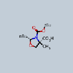 CCCC[C@H]1OC[C@@](C)(C(=O)O)N1C(=O)OC(C)(C)C